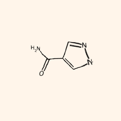 NC(=O)C1=C[N]N=C1